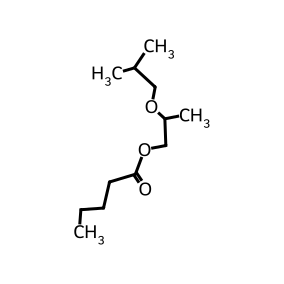 CCCCC(=O)OCC(C)OCC(C)C